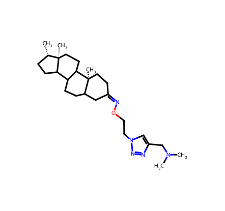 C[C@H]1CCC2C3CCC4CC(=NOCCn5cc(CN(C)C)nn5)CC[C@]4(C)C3CC[C@@]21C